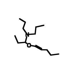 CCCC=COC(CC)N(CCC)CCC